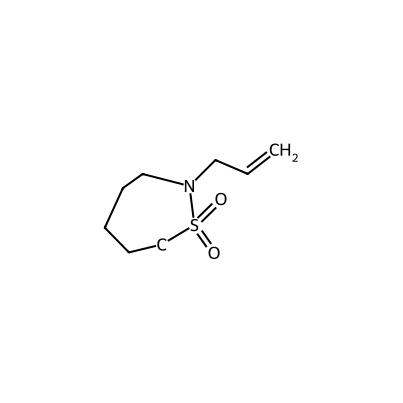 C=CCN1CCCCCS1(=O)=O